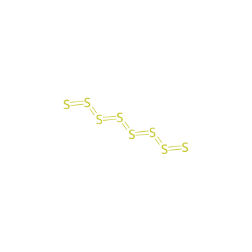 S=S=S=S=S=S=S=S